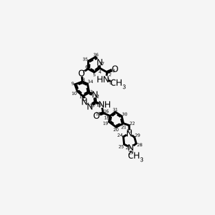 CNC(=O)c1cc(Oc2ccc3nnc(NC(=O)c4ccc(CN5CCN(C)CC5)cc4)nc3c2)ccn1